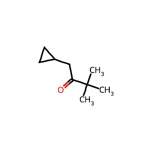 CC(C)(C)C(=O)CC1CC1